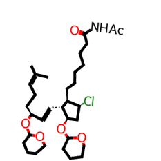 CC(=O)NC(=O)CCCCCC[C@@H]1[C@@H](C=C[C@H](CCC=C(C)C)OC2CCCCO2)[C@H](OC2CCCCO2)C[C@H]1Cl